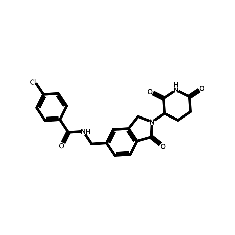 O=C1CCC(N2Cc3cc(CNC(=O)c4ccc(Cl)cc4)ccc3C2=O)C(=O)N1